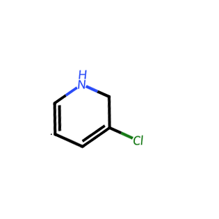 ClC1=C[C]=CNC1